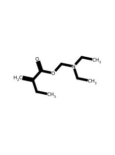 C=C(CC)C(=O)OCN(CC)CC